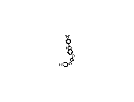 CN(C)c1ccc(-c2nc3ccc(OC4CC(OC5CCNCC5)C4)cc3s2)cc1